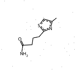 Cc1csc(CCCC(N)=O)n1